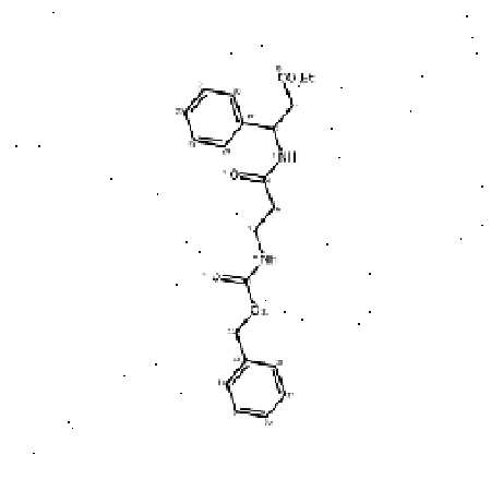 CCOC(=O)CC(NC(=O)CCNC(=O)OCc1ccccc1)c1ccccc1